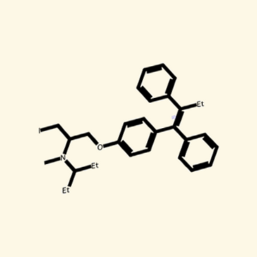 CC/C(=C(\c1ccccc1)c1ccc(OCC(CI)N(C)C(CC)CC)cc1)c1ccccc1